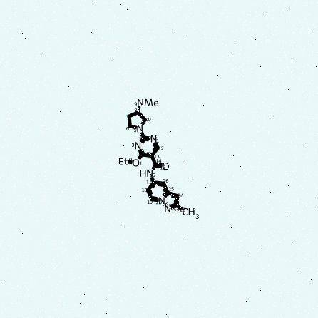 CCOc1nc(N2CC[C@@H](NC)C2)ncc1C(=O)Nc1ccn2nc(C)cc2c1